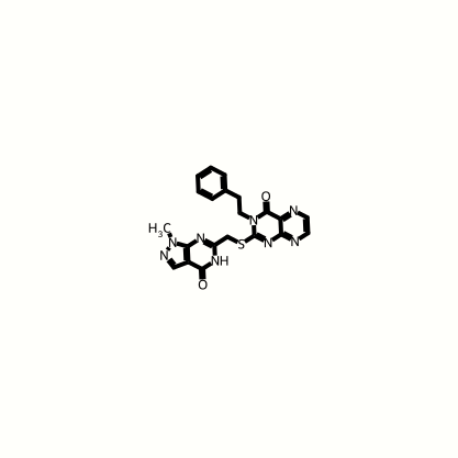 Cn1ncc2c(=O)[nH]c(CSc3nc4nccnc4c(=O)n3CCc3ccccc3)nc21